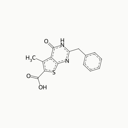 Cc1c(C(=O)O)sc2nc(Cc3ccccc3)[nH]c(=O)c12